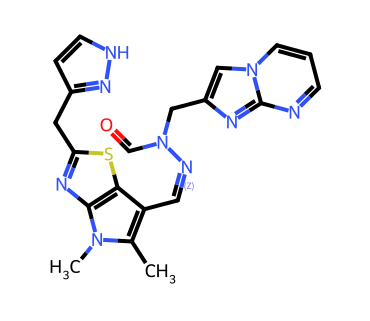 Cc1c(/C=N\N(C=O)Cc2cn3cccnc3n2)c2sc(Cc3cc[nH]n3)nc2n1C